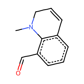 CN1CC=Cc2cccc(C=O)c21